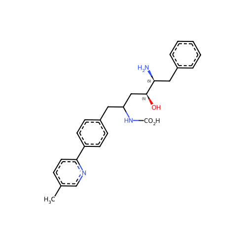 Cc1ccc(-c2ccc(CC(C[C@H](O)[C@@H](N)Cc3ccccc3)NC(=O)O)cc2)nc1